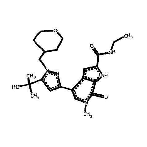 CCNC(=O)c1cc2c(-c3cc(C(C)(C)O)n(CC4CCOCC4)n3)cn(C)c(=O)c2[nH]1